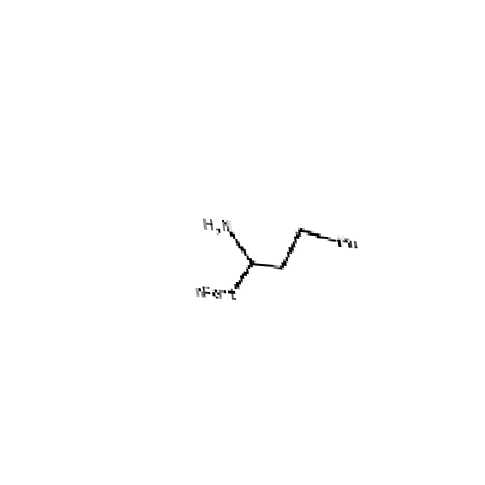 CCCCCC(N)CCC(C)CC